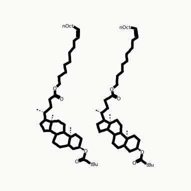 CCCCCCCC/C=C\CCCCCCCCOC(=O)CC[C@@H](C)C1CCC2C3CCC4C[C@H](OC(=O)C(C)(C)C)CC[C@]4(C)C3CC[C@@]21C.CCCCCCCC/C=C\CCCCCCCCOC(=O)CC[C@@H](C)C1CCC2C3CCC4C[C@H](OC(=O)C(C)(C)C)CC[C@]4(C)C3CC[C@@]21C